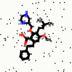 COc1cc(/C=C/c2ccccc2)c(C(=O)O)c(OCC2CNCCN2)c1CC=C(C)C